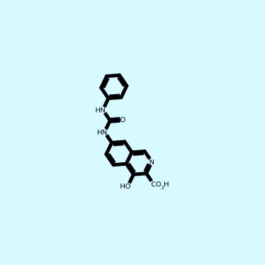 O=C(Nc1ccccc1)Nc1ccc2c(O)c(C(=O)O)ncc2c1